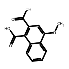 COc1cc(C(=O)O)c(C(=O)O)c2ccccc12